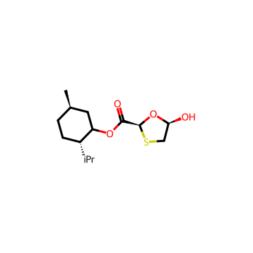 CC(C)[C@@H]1CC[C@@H](C)CC1OC(=O)[C@H]1O[C@@H](O)CS1